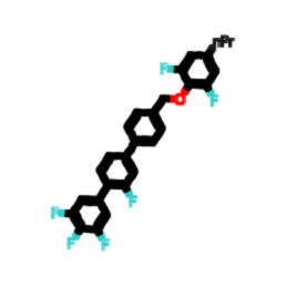 CCCc1cc(F)c(OCc2ccc(-c3ccc(-c4cc(F)c(F)c(F)c4)c(F)c3)cc2)c(F)c1